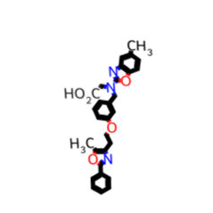 Cc1ccc2oc(N(CC(=O)O)Cc3cccc(OCCc4nc(-c5ccccc5)oc4C)c3)nc2c1